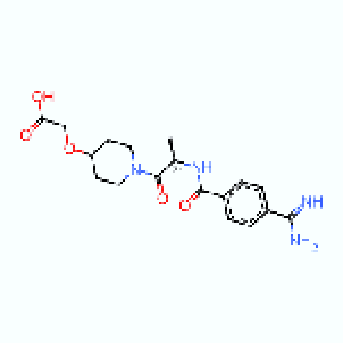 C[C@@H](NC(=O)c1ccc(C(=N)N)cc1)C(=O)N1CCC(OCC(=O)O)CC1